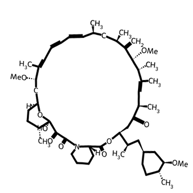 C=C1[C@H](C)C[C@H](C)/C=C/C=C/C=C(\C)[C@@H](OC)C[C@@H]2CC[C@@H](C)[C@@](O)(O2)C(=O)C(=O)N2CCCC[C@H]2C(=O)O[C@H]([C@H](C)C[C@@H]2CC[C@@H](C)[C@H](OC)C2)CC(=O)[C@H](C)/C=C(\C)[C@@H](C)[C@H]1OC